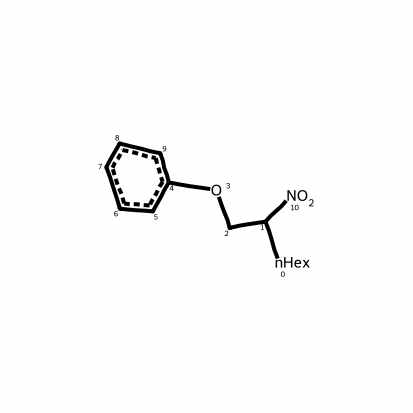 CCCCCCC(COc1ccccc1)[N+](=O)[O-]